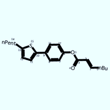 CCCCC=CC(=O)Oc1ccc(-c2ccc(CCCCC)s2)cc1